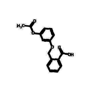 CC(=O)Oc1cccc(OCc2ccccc2C(=O)O)c1